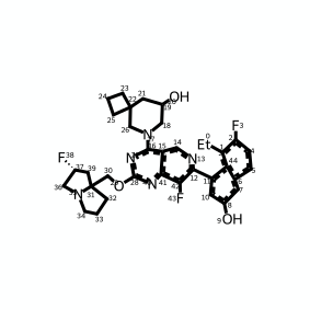 CCc1c(F)ccc2cc(O)cc(-c3ncc4c(N5CC(O)CC6(CCC6)C5)nc(OCC56CCCN5C[C@H](F)C6)nc4c3F)c12